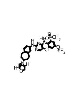 CP(C)(=O)c1cc(OC(F)(F)F)ccc1Nc1nc(Nc2ccc3c(c2)CCC(N2C[C@@H]4C[C@H]2CO4)CC3)ncc1Cl